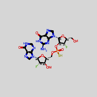 Nc1nc2c(ncn2[C@@H]2O[C@H](CO)[C@H](F)[C@H]2OP(=O)(S)OC[C@H]2O[C@@H](n3cnc4c(=O)[nH]cnc43)[C@@H](F)[C@@H]2O)c(=O)[nH]1